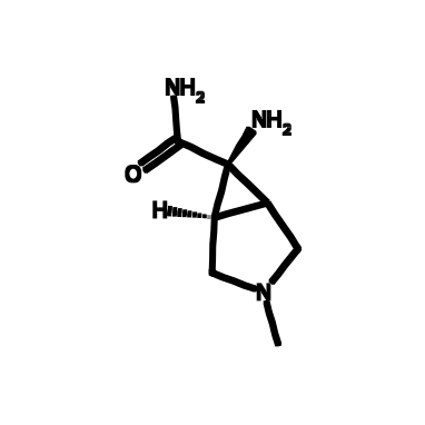 CN1CC2[C@@H](C1)[C@]2(N)C(N)=O